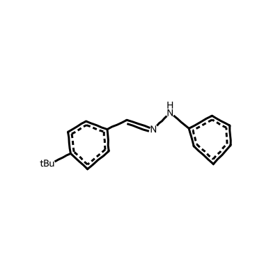 CC(C)(C)c1ccc(/C=N/Nc2ccccc2)cc1